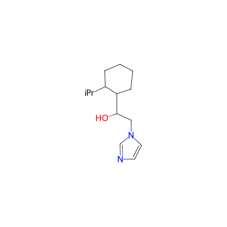 CC(C)C1CCCCC1C(O)Cn1ccnc1